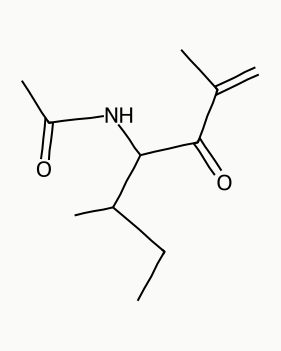 C=C(C)C(=O)C(NC(C)=O)C(C)CC